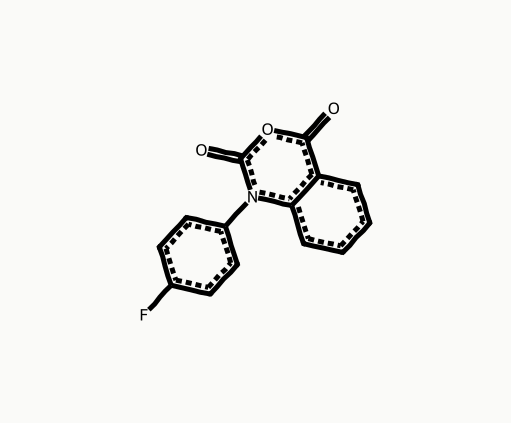 O=c1oc(=O)n(-c2ccc(F)cc2)c2ccccc12